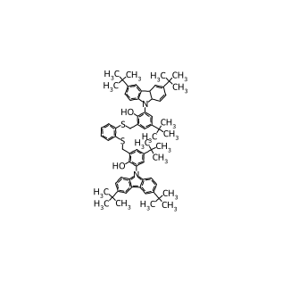 CC(C)(C)C1=CC2c3cc(C(C)(C)C)ccc3N(c3cc(C(C)(C)C)cc(CSc4ccccc4SCc4cc(C(C)(C)C)cc(-n5c6ccc(C(C)(C)C)cc6c6cc(C(C)(C)C)ccc65)c4O)c3O)C2C=C1